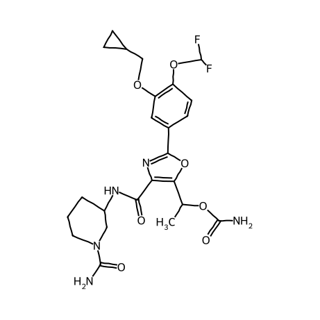 CC(OC(N)=O)c1oc(-c2ccc(OC(F)F)c(OCC3CC3)c2)nc1C(=O)NC1CCCN(C(N)=O)C1